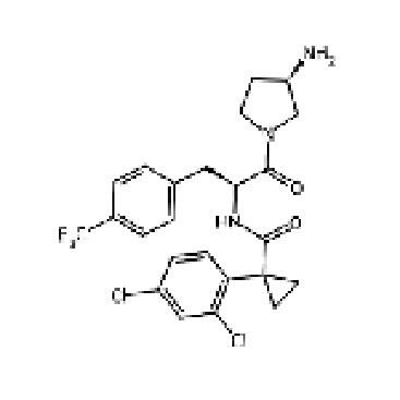 N[C@@H]1CCN(C(=O)[C@H](Cc2ccc(C(F)(F)F)cc2)NC(=O)C2(c3ccc(Cl)cc3Cl)CC2)C1